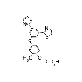 Cc1cc(Sc2cc(C3=NCCS3)cc(-c3nccs3)c2)ccc1OCC(=O)O